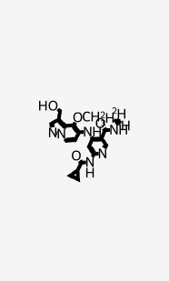 [2H]C([2H])([2H])NC(=O)c1cnc(NC(=O)C2CC2)cc1Nc1ccn2ncc(CO)c2c1OC